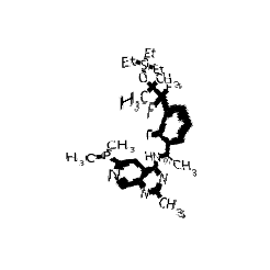 CC[Si](CC)(CC)OC(C)(C)C(F)(F)c1cccc([C@@H](C)Nc2nc(C)nc3cnc(P(C)C)cc23)c1F